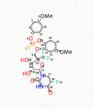 COc1ccc(OP(=S)(OC[C@@]2(C(F)F)O[C@@H](n3cc(F)c(=O)[nH]c3=O)[C@H](O)[C@@H]2O)Oc2ccc(OC)cc2)cc1